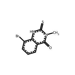 Cn1c(=S)[nH]c2c(Br)cccc2c1=O